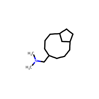 CN(C)CC1CCCC2CCC(CCC1)C2